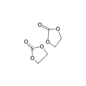 O=C1OCCO1.O=S1OCCO1